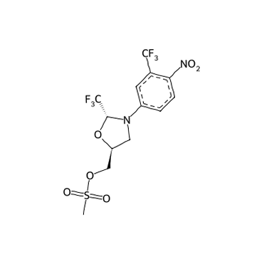 CS(=O)(=O)OC[C@@H]1CN(c2ccc([N+](=O)[O-])c(C(F)(F)F)c2)[C@@H](C(F)(F)F)O1